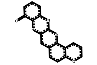 O=c1cccc2nc3nc4c(ccc5occcc54)cc3nc12